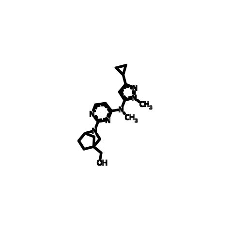 CN(c1ccnc(N2CC3(CO)CCC2C3)n1)c1cc(C2CC2)nn1C